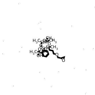 C[SiH]1O[Si](C)(C)O[Si](C)(CCCOCC2CO2)O[Si](C)(O[Si](C)(O)c2ccccc2)O1